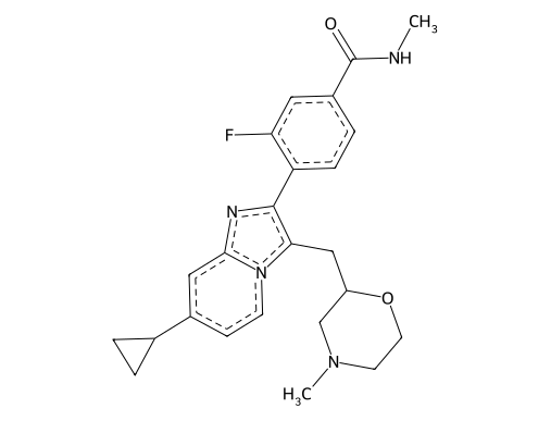 CNC(=O)c1ccc(-c2nc3cc(C4CC4)ccn3c2CC2CN(C)CCO2)c(F)c1